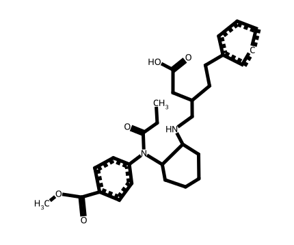 CCC(=O)N(c1ccc(C(=O)OC)cc1)C1CCCCC1NCC(CCc1ccccc1)CC(=O)O